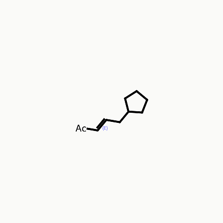 CC(=O)/C=C/CC1CCCC1